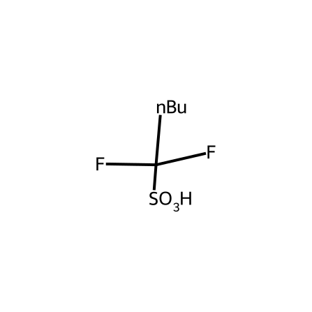 CCCCC(F)(F)S(=O)(=O)O